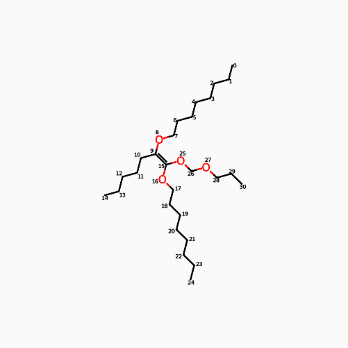 CCCCCCCCOC(CCCCC)=C(OCCCCCCCC)OCOCCC